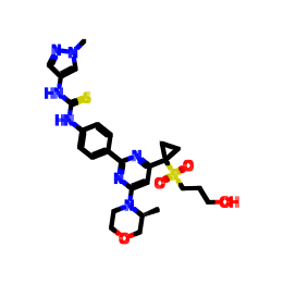 C[C@H]1COCCN1c1cc(C2(S(=O)(=O)CCCO)CC2)nc(-c2ccc(NC(=S)Nc3cnn(C)c3)cc2)n1